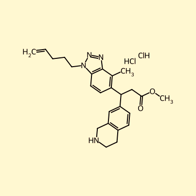 C=CCCCn1nnc2c(C)c(C(CC(=O)OC)c3ccc4c(c3)CNCC4)ccc21.Cl.Cl